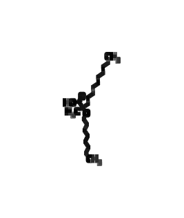 CCCCCCCCCCC(C)(OCCCCCCCC)C(=O)O